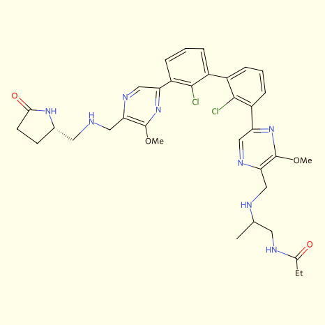 CCC(=O)NCC(C)NCc1ncc(-c2cccc(-c3cccc(-c4cnc(CNC[C@@H]5CCC(=O)N5)c(OC)n4)c3Cl)c2Cl)nc1OC